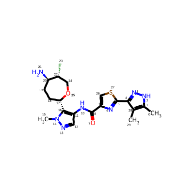 Cc1[nH]nc(-c2nc(C(=O)Nc3cnn(C)c3[C@@H]3CC[C@@H](N)[C@H](F)CO3)cs2)c1C